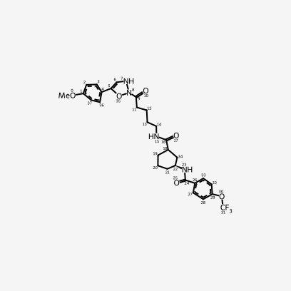 COc1ccc(C2=CNN(C(=O)CCCCNC(=O)C3CCC[C@H](NC(=O)c4ccc(OC(F)(F)F)cc4)C3)O2)cc1